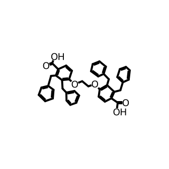 O=C(O)c1ccc(OCCOc2ccc(C(=O)O)c(Cc3ccccc3)c2Cc2ccccc2)c(Cc2ccccc2)c1Cc1ccccc1